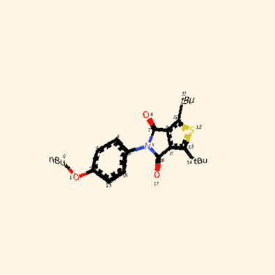 CCCCOc1ccc(N2C(=O)c3c(C(C)(C)C)sc(C(C)(C)C)c3C2=O)cc1